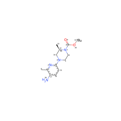 Cc1nc(N2CCN(C(=O)OC(C)(C)C)[C@H](C)C2)ccc1N